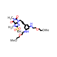 COCCOCCNc1cc(C#CCn2c(=O)n(C)c(=O)c3c2nc(S(C)(=O)=O)n3C)cc(NCCOCCOC)c1